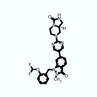 Cn1c(=O)c2ccc(-c3cnc(N4CCN5C(=O)NC[C@H]5C4)nc3)cc2n1Cc1ccccc1OC(F)F